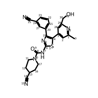 Cc1cc(-c2sc(NC(=O)N3CCC(C#N)CC3)nc2-c2cccc(C#N)c2)cc(CO)n1